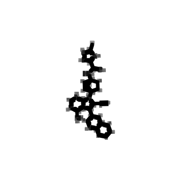 C#Cc1c(-c2cnc3ccccc3c2)c2c(N)ncnc2n1C12CCC(NC(=O)c3noc(C)n3)(CC1)C2